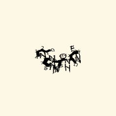 CC1CCCN1c1ccn2ncc(C(=O)Nc3cncc(F)c3)c2n1